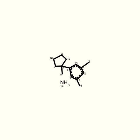 Cc1cc(C)cc(C2(C)CCCC2)c1.N